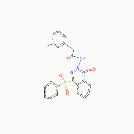 Cc1cccc(CC(=O)Nn2nc(S(=O)(=O)c3ccccc3)c3ccccc3c2=O)c1